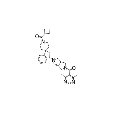 Cc1ncnc(C)c1C(=O)N1CC2=CN(CCC3(c4ccccc4)CCN(C(=O)C4CCC4)CC3)CC2C1